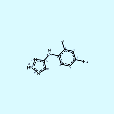 Cc1cc(F)ccc1Nc1cn[nH]n1